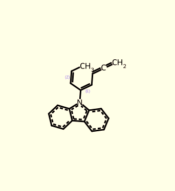 C=C=C/C=C(\C=C/C)n1c2ccccc2c2ccccc21